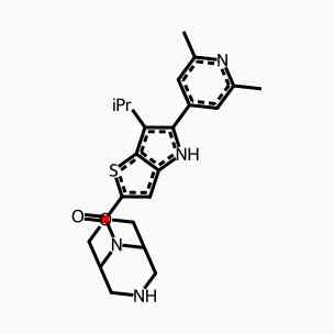 Cc1cc(-c2[nH]c3cc(C(=O)N4C5CNCC4COC5)sc3c2C(C)C)cc(C)n1